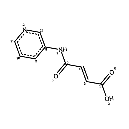 O=C(O)C=CC(=O)Nc1cccnc1